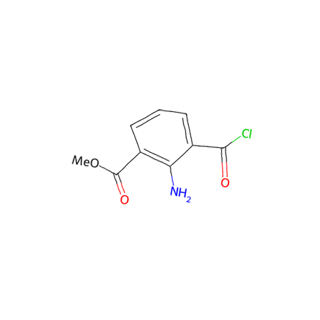 COC(=O)c1cccc(C(=O)Cl)c1N